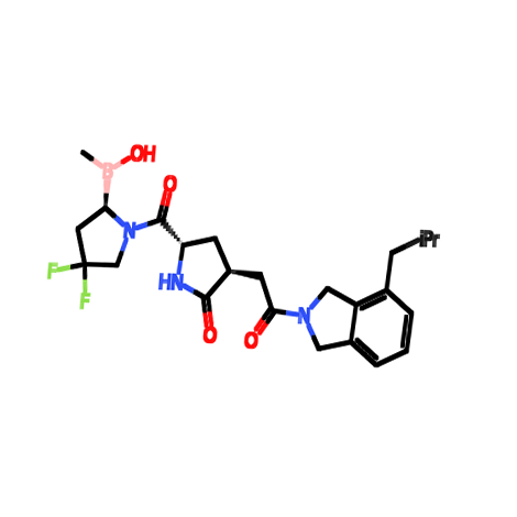 CB(O)[C@@H]1CC(F)(F)CN1C(=O)[C@@H]1C[C@@H](CC(=O)N2Cc3cccc(CC(C)C)c3C2)C(=O)N1